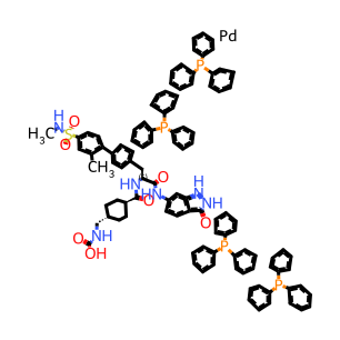 CNS(=O)(=O)c1ccc(-c2ccc(C[C@H](NC(=O)[C@H]3CC[C@H](CNC(=O)O)CC3)C(=O)Nc3ccc4c(=O)[nH][nH]c4c3)cc2)c(C)c1.[Pd].c1ccc(P(c2ccccc2)c2ccccc2)cc1.c1ccc(P(c2ccccc2)c2ccccc2)cc1.c1ccc(P(c2ccccc2)c2ccccc2)cc1.c1ccc(P(c2ccccc2)c2ccccc2)cc1